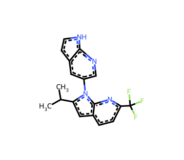 CC(C)c1cc2ccc(C(F)(F)F)nc2n1-c1cnc2[nH]ccc2c1